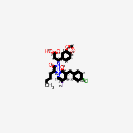 CCCCC(C(=O)NC(CC(=O)O)c1ccc2c(c1)OCO2)n1cc(I)cc(Cc2ccc(Cl)cc2)c1=O